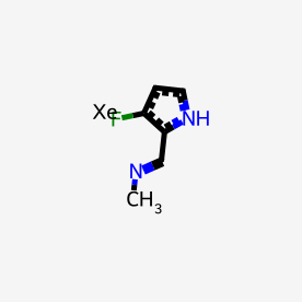 CN=Cc1[nH]ccc1F.[Xe]